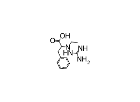 CCN(NC(=N)N)C(Cc1ccccc1)C(=O)O